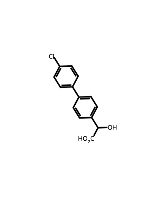 O=C(O)C(O)c1ccc(-c2ccc(Cl)cc2)cc1